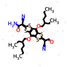 CCCCC(CC)COc1c2c(c(OCC(CC)CCCC)c3c1SC(=C(C#N)C(N)=O)S3)SC(=C(C#N)C=O)S2